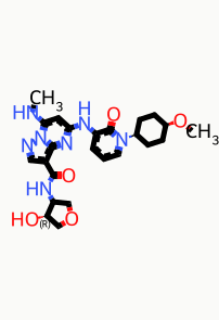 CNc1cc(Nc2cccn([C@H]3CC[C@H](OC)CC3)c2=O)nc2c(C(=O)NC3COC[C@@H]3O)cnn12